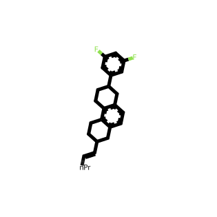 CCC/C=C/C1CCc2c(ccc3c2CCC(c2cc(F)cc(F)c2)C3)C1